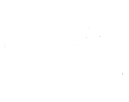 CCCCc1ccc(C(=O)OC(=O)OC(=O)c2ccc(CCCC)cc2)cc1